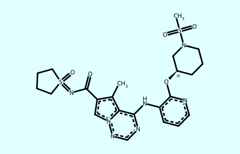 Cc1c(C(=O)N=S2(=O)CCCC2)cn2ncnc(Nc3cccnc3O[C@@H]3CCCN(S(C)(=O)=O)C3)c12